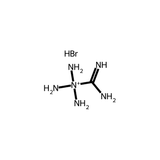 Br.N=C(N)[N+](N)(N)N